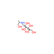 CC(CO)NC[C@H](O)[C@@H](O)[C@H](O)[C@H](O)CO